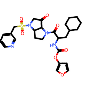 O=C(NC(CC1CCCCC1)C(=O)N1CCC2C1C(=O)CN2S(=O)(=O)Cc1cccnc1)Oc1ccoc1